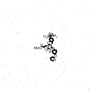 BC(B)(B)c1ccc(Cn2c(=O)n(C[C@H](C)C(=O)OC)c(=O)[nH]/c2=N\c2ccc(Oc3ccccn3)cc2)cc1